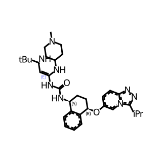 CC(C)c1nnc2ccc(O[C@@H]3CC[C@H](NC(=O)N/C(=C/C(=N)C(C)(C)C)NC4CCN(C)CC4)c4ccccc43)cn12